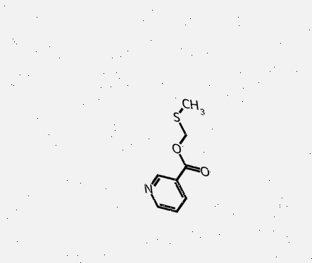 CSCOC(=O)c1cccnc1